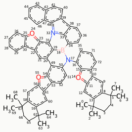 CC1(C)CCC(C)(C)c2cc3c(cc21)oc1c(N2B4c5c(cc6c(oc7ccccc76)c5-n5c6c4cccc6c4ccc6ccccc6c45)-c4c2ccc2c4oc4cc5c(cc42)C(C)(C)CCC5(C)C)cccc13